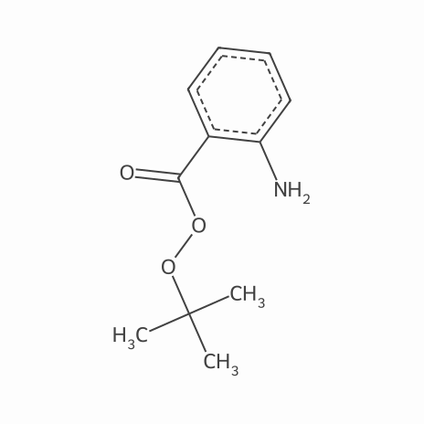 CC(C)(C)OOC(=O)c1ccccc1N